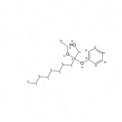 CCCCCCCCC(CO)(OCC)Oc1ccccc1